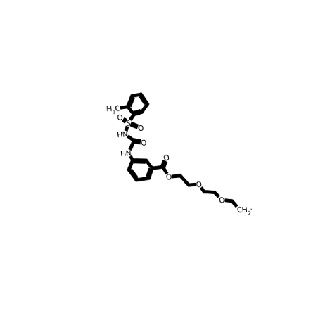 [CH2]COCCOCCOC(=O)c1cccc(NC(=O)NS(=O)(=O)c2ccccc2C)c1